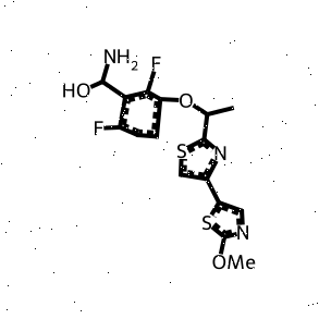 COc1ncc(-c2csc(C(C)Oc3ccc(F)c(C(N)O)c3F)n2)s1